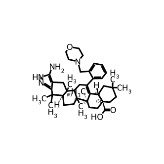 CC1(C)CC[C@]2(C(=O)O)CC[C@]3(C)C(=C(c4ccccc4CN4CCOCC4)CC4[C@@]5(C)Cc6c(n[nH]c6N)C(C)(C)[C@@H]5CC[C@]43C)[C@@H]2C1